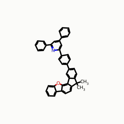 CC1(C)c2ccc(-c3ccc(-c4cc(-c5ccccc5)cc(-c5ccccc5)n4)cc3)cc2-c2c1ccc1c2oc2ccccc21